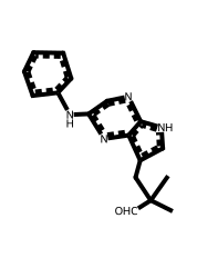 CC(C)(C=O)Cc1c[nH]c2ncc(Nc3ccccc3)nc12